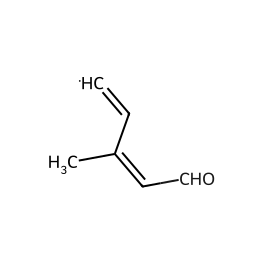 [CH]=CC(C)=CC=O